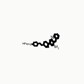 CCCCCC1CCC(CCC2CCC(c3cc(N)c(Cc4ccccc4)c(N)c3)CC2)CC1